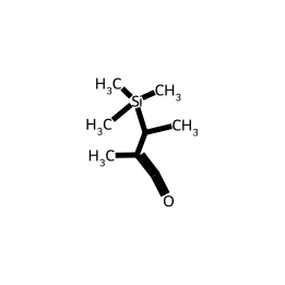 CC(=C=O)C(C)[Si](C)(C)C